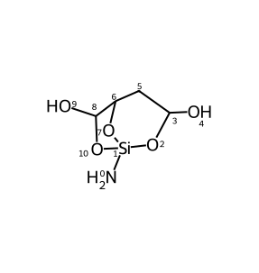 N[Si]12OC(O)CC(O1)C(O)O2